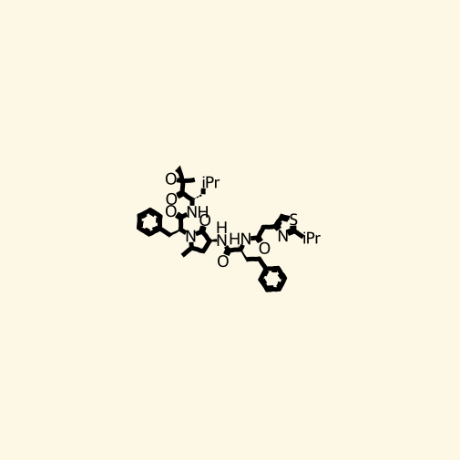 CC(C)C[C@H](NC(=O)[C@H](Cc1ccccc1)N1C(=O)[C@@H](NC(=O)[C@H](CCc2ccccc2)NC(=O)Cc2csc(C(C)C)n2)CC1C)C(=O)C1(C)CO1